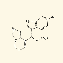 CCOC(=O)CC(C1=CC=CN2SNC=C12)c1c[nH]c2cc(O)ccc12